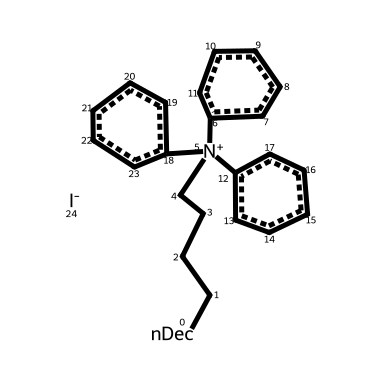 CCCCCCCCCCCCCC[N+](c1ccccc1)(c1ccccc1)c1ccccc1.[I-]